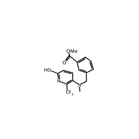 COC(=O)c1cccc(CN(C)c2ccc(O)nc2C(F)(F)F)c1